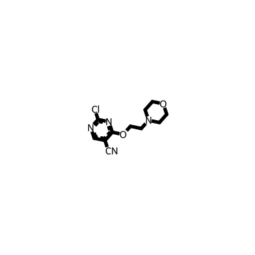 N#Cc1cnc(Cl)nc1OCCN1CCOCC1